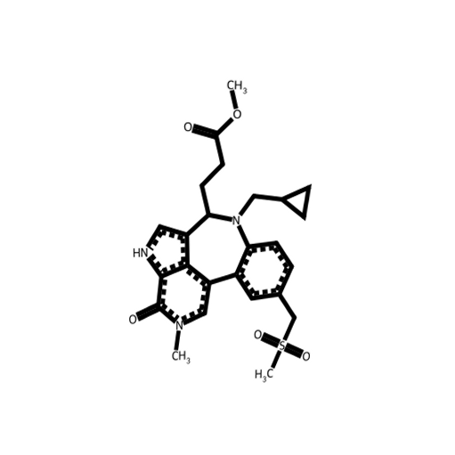 COC(=O)CCC1c2c[nH]c3c(=O)n(C)cc(c23)-c2cc(CS(C)(=O)=O)ccc2N1CC1CC1